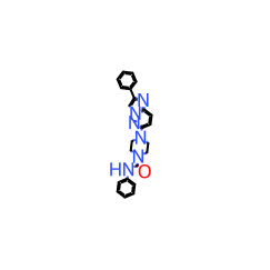 O=C(Nc1ccccc1)N1CCN(c2ccc3nc(-c4ccccc4)cn3n2)CC1